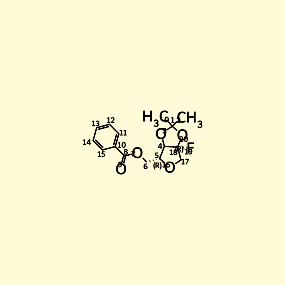 CC1(C)OC2[C@@H](COC(=O)c3ccccc3)OC[C@]2(F)O1